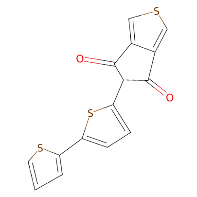 O=C1c2cscc2C(=O)C1c1ccc(-c2cccs2)s1